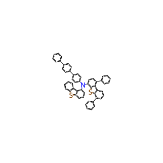 c1ccc(-c2ccc(-c3ccc(N(c4ccc(-c5ccccc5)c5c4sc4c(-c6ccccc6)cccc45)c4cccc5sc6ccccc6c45)cc3)cc2)cc1